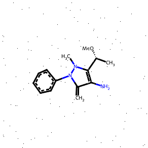 C=C1C(N)=C([C@@H](C)OC)N(C)N1c1ccccc1